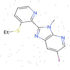 CCSc1cccnc1-c1nc2cc(I)cnc2n1C